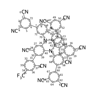 N#Cc1cc(C#N)cc(-c2ccc3c4ccc(-c5cc(C#N)cc(C#N)c5)cc4n(-c4cc(C#N)c(-c5ccc(C(F)(F)F)cc5C#N)cc4-n4c5cc(-c6cc(C#N)cc(C#N)c6)ccc5c5ccc(-c6cc(C#N)cc(C#N)c6)cc54)c3c2)c1